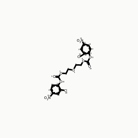 O=C(OCCOCCOC(=O)Oc1ccc([N+](=O)[O-])cc1Cl)Oc1ccc([N+](=O)[O-])cc1Cl